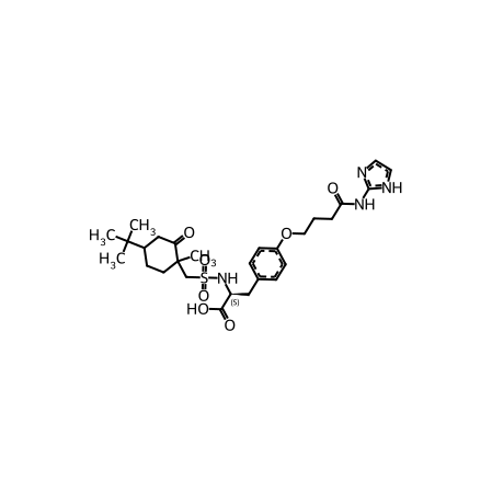 CC1(CS(=O)(=O)N[C@@H](Cc2ccc(OCCCC(=O)Nc3ncc[nH]3)cc2)C(=O)O)CCC(C(C)(C)C)CC1=O